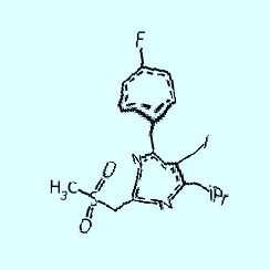 CC(C)c1nc(CS(C)(=O)=O)nc(-c2ccc(F)cc2)c1I